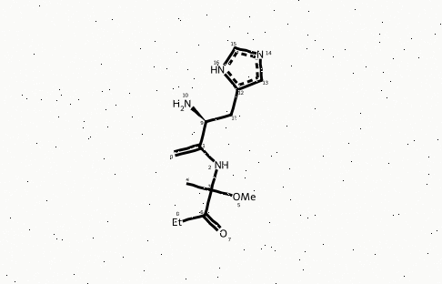 C=C(NC(C)(OC)C(=O)CC)[C@@H](N)Cc1cnc[nH]1